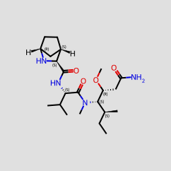 CC[C@H](C)[C@@H]([C@@H](CC(N)=O)OC)N(C)C(=O)[C@@H](NC(=O)[C@H]1N[C@@H]2CC[C@H]1C2)C(C)C